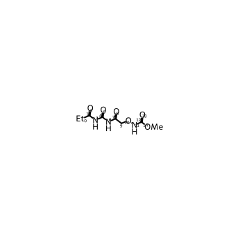 CCC(=O)NC(=O)NC(=O)CONC(=O)OC